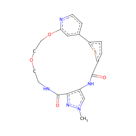 Cn1cc2c(n1)C(=O)NCCOCCOc1cc(ccn1)-c1ccc(s1)C(=O)N2